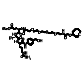 COC(=O)CC[C@@H](NC(=O)CCOCCOCCOCCOCCNC(=O)COC1C#CCCCCC1)C(=O)N[C@H](C(=O)N[C@@H](CCCNC(N)=O)C(=O)Nc1ccc(CO)cc1)C(C)C